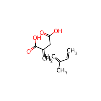 C=C(CC(=O)O)C(=O)O.C=CC(=C)C